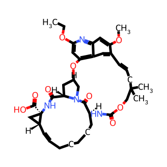 CCOc1cc2c3cc(c(OC)cc3n1)/C=C/CC(C)(C)COC(=O)N[C@H]1CCCCC/C=C\[C@@H]3C[C@@]3(C(=O)O)NC(=O)[C@@H]3C[C@H](CN3C1=O)O2